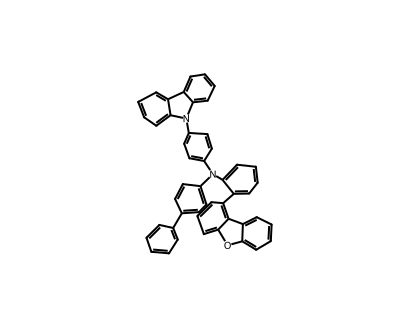 c1ccc(-c2ccc(N(c3ccc(-n4c5ccccc5c5ccccc54)cc3)c3ccccc3-c3cccc4oc5ccccc5c34)cc2)cc1